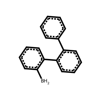 Bc1ccccc1-c1ccccc1-c1ccccc1